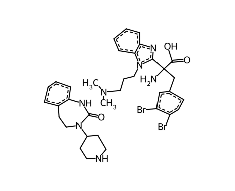 CN(C)CCCn1c(C(N)(Cc2ccc(Br)c(Br)c2)C(=O)O)nc2ccccc21.O=C1Nc2ccccc2CCN1C1CCNCC1